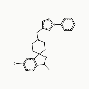 CC1OC2(CCN(Cc3cnn(-c4ccccc4)c3)CC2)c2cc(Cl)ccc21